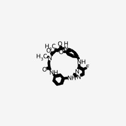 CN1CC(=O)Nc2cccc(c2)Nc2ncc(F)c(n2)Nc2ccc3c(c2)NC(=O)C(C)(O3)C1=O